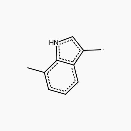 [CH2]c1c[nH]c2c(C)cccc12